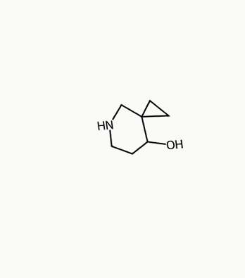 OC1CCNCC12CC2